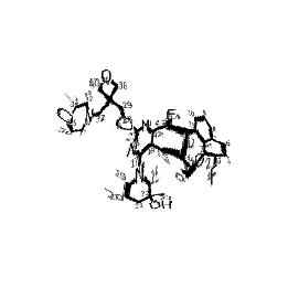 C#Cc1c(F)ccc2cccc(-c3c([N+](=O)[O-])cc4c(N5CCC[C@@](C)(O)C5)nc(OCC5(CN6CCOCC6)COC5)nc4c3F)c12